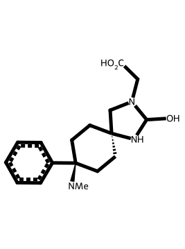 CN[C@]1(c2ccccc2)CC[C@]2(CC1)CN(CC(=O)O)C(O)N2